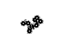 c1cc(-c2nc(-c3ccc4sc5ccccc5c4c3)c3sc4ccccc4c3n2)cc(N2c3ccccc3-c3cccc4cccc2c34)c1